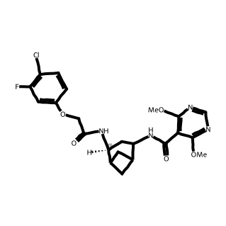 COc1ncnc(OC)c1C(=O)NC1C[C@H](NC(=O)COc2ccc(Cl)c(F)c2)C2CC1C2